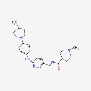 CN1CCC(C(=O)NCc2ccc(Nc3ccc(N4CCC(C(F)(F)F)CC4)cc3)nc2)CC1